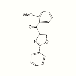 COc1ccccc1C(=O)C1COC(c2ccccc2)=N1